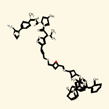 Cc1ncsc1-c1ccc([C@H](C)NC(=O)[C@@H]2C[C@@H](O)CN2C(=O)[C@@H](c2cc(C#CCOCC34CC(COC5CC(Oc6cc(N7C8CC[C@@H]7CN(c7cc(-c9ccccc9O)nnc7N)C8)ccn6)C5)(C3)C4)no2)C(C)C)cc1